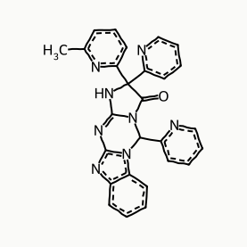 Cc1cccc(C2(c3ccccn3)NC3=Nc4nc5ccccc5n4C(c4ccccn4)N3C2=O)n1